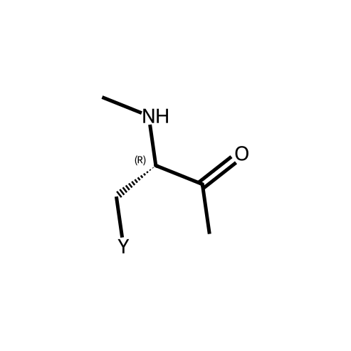 CN[C@@H]([CH2][Y])C(C)=O